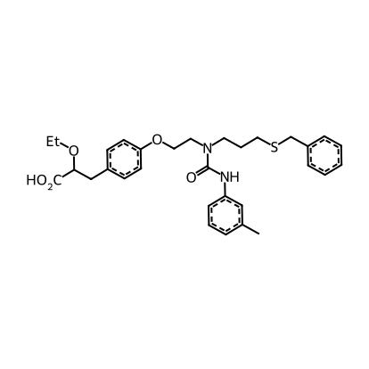 CCOC(Cc1ccc(OCCN(CCCSCc2ccccc2)C(=O)Nc2cccc(C)c2)cc1)C(=O)O